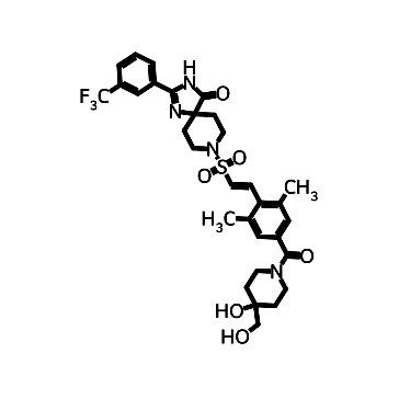 Cc1cc(C(=O)N2CCC(O)(CO)CC2)cc(C)c1C=CS(=O)(=O)N1CCC2(CC1)N=C(c1cccc(C(F)(F)F)c1)NC2=O